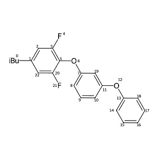 CCC(C)c1cc(F)c(Oc2cccc(Oc3ccccc3)c2)c(F)c1